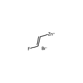 FC=[CH][Zn+].[Br-]